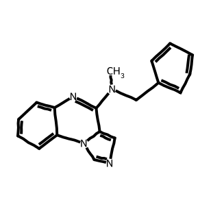 CN(Cc1ccccc1)c1nc2ccccc2n2cncc12